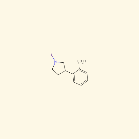 O=C(O)c1ccccc1C1CCN(I)C1